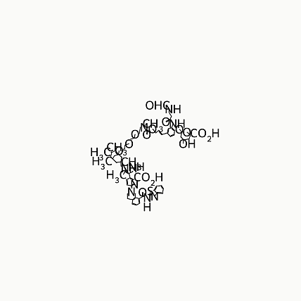 C/C(NCC1(C)CC2(C)CC(C)(C)CC(OCCOCCOCCN(C)C(=O)OC/C=C/c3ccc(OC4CC(O)CC(C(=O)O)O4)c(NC(=O)CCNC=O)c3)(C1)C2)=C(/C=N)c1ccc(N2CCc3cccc(C(=O)Nc4nc5ccccc5s4)c3C2)nc1C(=O)O